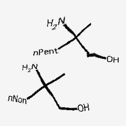 CCCCCC(C)(N)CO.CCCCCCCCCC(C)(N)CO